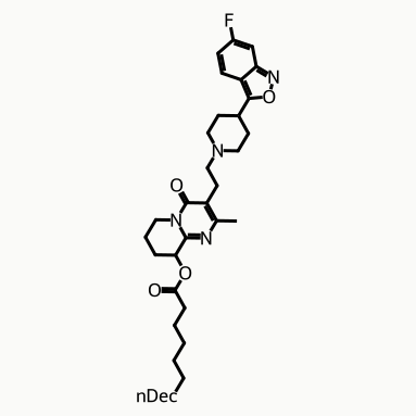 CCCCCCCCCCCCCCCC(=O)OC1CCCn2c1nc(C)c(CCN1CCC(c3onc4cc(F)ccc34)CC1)c2=O